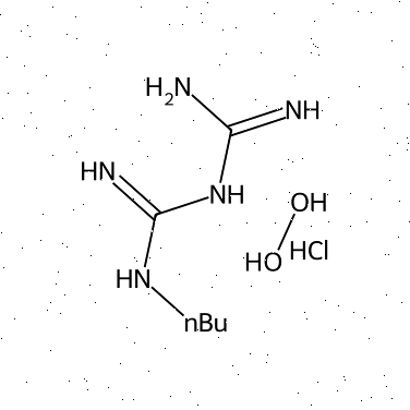 CCCCNC(=N)NC(=N)N.Cl.OO